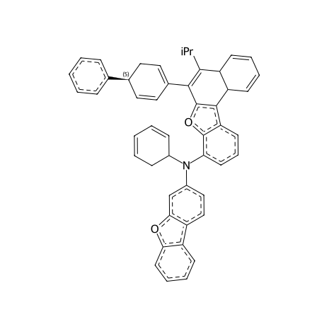 CC(C)C1=C(C2=CC[C@H](c3ccccc3)C=C2)c2oc3c(N(c4ccc5c(c4)oc4ccccc45)C4C=CC=CC4)cccc3c2C2C=CC=CC12